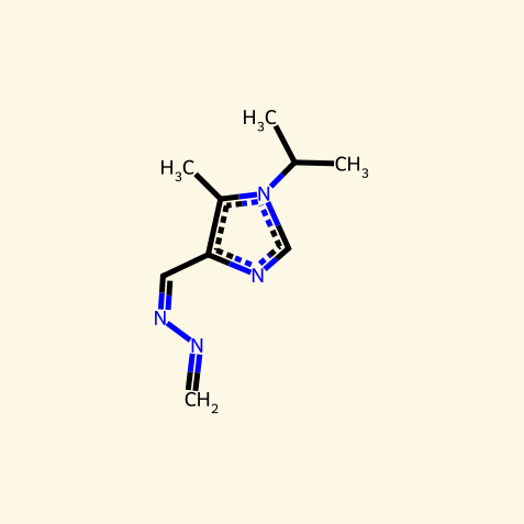 C=N/N=C\c1ncn(C(C)C)c1C